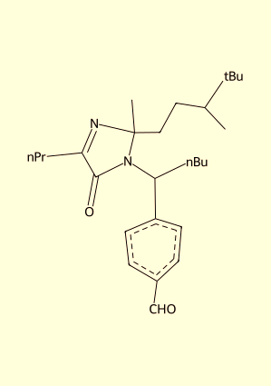 CCCCC(c1ccc(C=O)cc1)N1C(=O)C(CCC)=NC1(C)CCC(C)C(C)(C)C